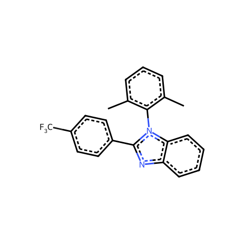 Cc1cccc(C)c1-n1c(-c2ccc(C(F)(F)F)cc2)nc2ccccc21